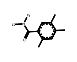 CCN(CC)C(=O)c1cc(C)c(C)cc1C